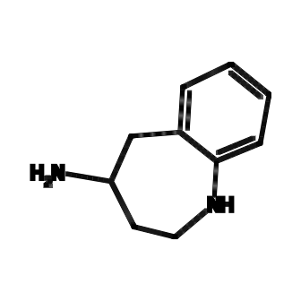 NC1CCNc2ccccc2C1